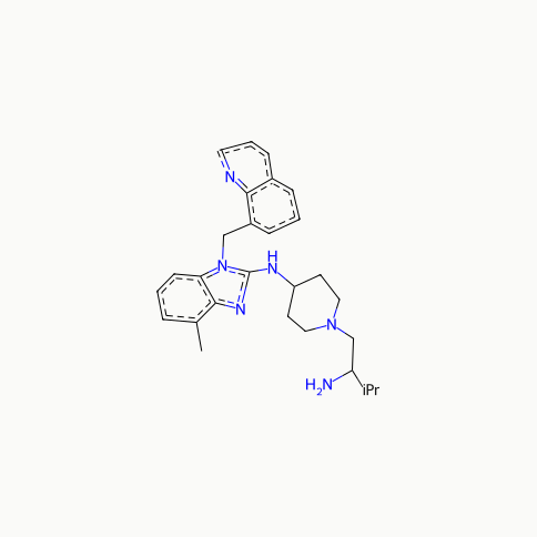 Cc1cccc2c1nc(NC1CCN(CC(N)C(C)C)CC1)n2Cc1cccc2cccnc12